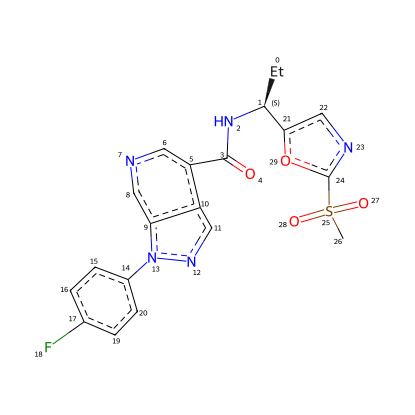 CC[C@H](NC(=O)c1cncc2c1cnn2-c1ccc(F)cc1)c1cnc(S(C)(=O)=O)o1